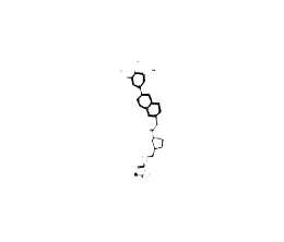 COc1cc(-c2ccc3cc(CC(=O)N4CCC(C(=O)Nc5nncn5C)C4)ccc3c2)cc(OC)c1OC